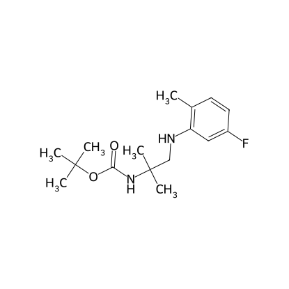 Cc1ccc(F)cc1NCC(C)(C)NC(=O)OC(C)(C)C